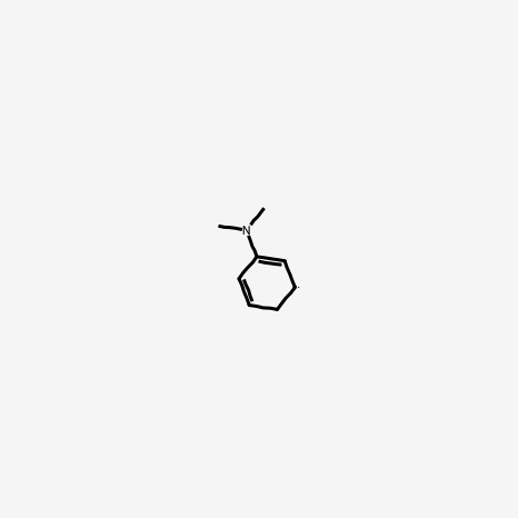 CN(C)C1=C[CH]CC=C1